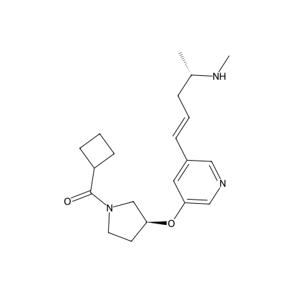 CN[C@@H](C)CC=Cc1cncc(O[C@H]2CCN(C(=O)C3CCC3)C2)c1